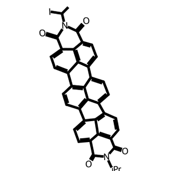 CC(C)N1C(=O)c2ccc3c4ccc5c6ccc7c8c(ccc(c9ccc(c%10ccc(c2c3%10)C1=O)c4c59)c86)C(=O)N(C(C)I)C7=O